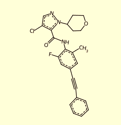 Cc1cc(C#Cc2ccccc2)cc(F)c1NC(=O)c1c(Cl)cnn1C1CCOCC1